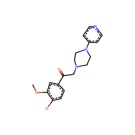 COc1cc(C(=O)CN2CCN(c3ccncc3)CC2)ccc1[O]